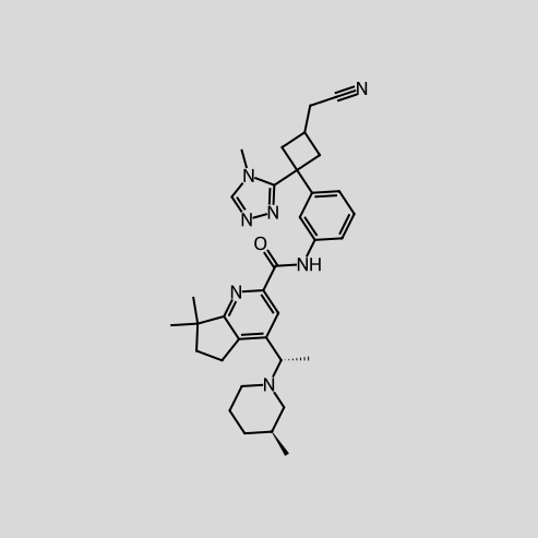 C[C@H]1CCCN([C@@H](C)c2cc(C(=O)Nc3cccc(C4(c5nncn5C)CC(CC#N)C4)c3)nc3c2CCC3(C)C)C1